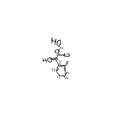 O=C(OCO)[C@H](O)c1ccccc1